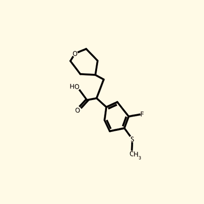 CSc1ccc(C(CC2CCOCC2)C(=O)O)cc1F